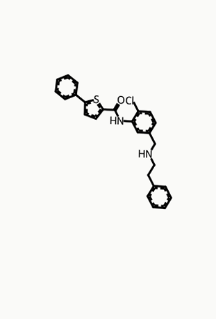 O=C(Nc1cc(CNCCc2ccccc2)ccc1Cl)c1ccc(-c2ccccc2)s1